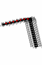 CCCCCC.CCCCCC.CCCCCC.CCOC(C)=O.CCOC(C)=O.CCOC(C)=O.CCOC(C)=O.CCOC(C)=O.CCOC(C)=O.CCOC(C)=O.CCOC(C)=O.CCOC(C)=O.CCOC(C)=O.CCOC(C)=O.CCOC(C)=O.CCOC(C)=O.CCOC(C)=O.CCOC(C)=O.CCOC(C)=O.CCOC(C)=O.CCOC(C)=O.CCOC(C)=O.CCOC(C)=O